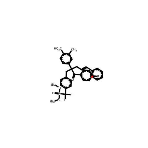 Cc1cc(C(CC=Cc2ccccc2)(Cc2ccc(C(F)(F)P(=O)(OC(C)(C)C)OC(C)(C)C)cc2)C(=O)c2ccc(F)cc2)ccc1C(=O)O